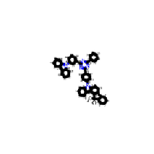 CC1(C)c2ccccc2-c2ccc3c(c21)c1ccccc1n3-c1ccc(-c2nc(-c3ccccc3)nc(-c3cccc(-n4c5ccccc5c5ccccc54)c3)n2)cc1